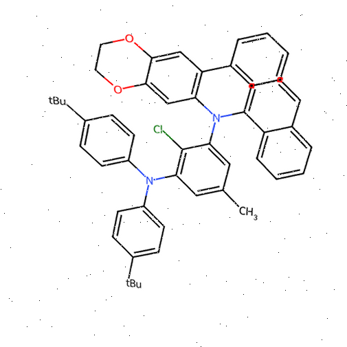 Cc1cc(N(c2ccc(C(C)(C)C)cc2)c2ccc(C(C)(C)C)cc2)c(Cl)c(N(c2cc3c(cc2-c2ccccc2)OCCO3)c2cccc3ccccc23)c1